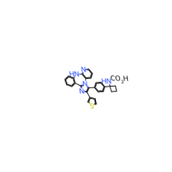 O=C(O)NC1(c2ccc(-c3c(-c4ccsc4)nc4n3-c3cccnc3Nc3ccccc3-4)cc2)CCC1